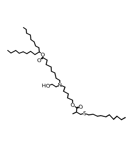 CCCCCCCCCCSCC(C)C(=O)OCCCCCN(CCO)CCCCCCCC(=O)OC(CCCCCCCC)CCCCCCCC